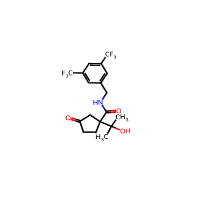 CC(C)(O)C1(C(=O)NCc2cc(C(F)(F)F)cc(C(F)(F)F)c2)CCC(=O)C1